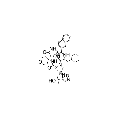 CC(C)(O)c1cnnn1[C@H]1C[C@@H](C(=O)NC2(C(O)C(N)=O)CCOCC2)N(C(=O)C(CC2CCCCC2)NC(=O)c2ccc3ccccc3c2)C1